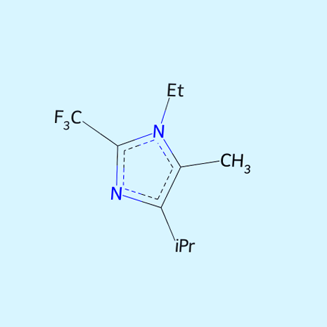 CCn1c(C(F)(F)F)nc(C(C)C)c1C